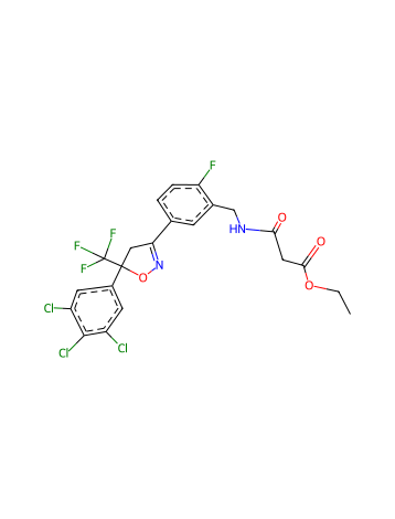 CCOC(=O)CC(=O)NCc1cc(C2=NOC(c3cc(Cl)c(Cl)c(Cl)c3)(C(F)(F)F)C2)ccc1F